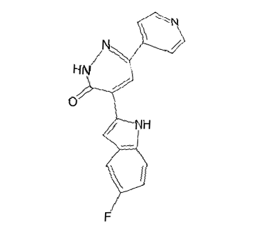 O=c1[nH]nc(-c2ccncc2)cc1-c1cc2cc(F)ccc2[nH]1